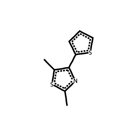 Cc1nc(-c2cccs2)c(C)s1